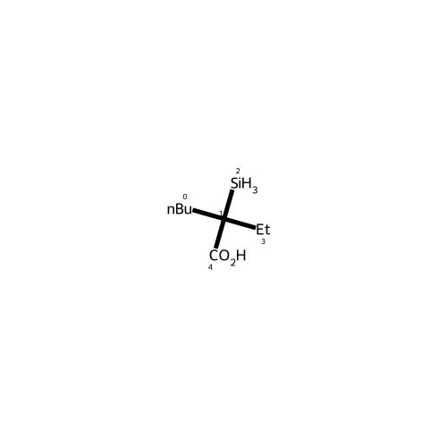 CCCCC([SiH3])(CC)C(=O)O